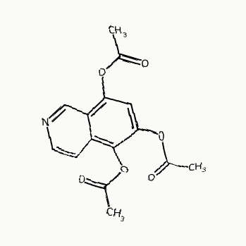 CC(=O)Oc1cc(OC(C)=O)c2cnccc2c1OC(C)=O